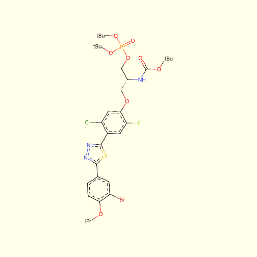 CC(C)Oc1ccc(-c2nnc(-c3cc(F)c(OC[C@H](COP(=O)(OC(C)(C)C)OC(C)(C)C)NC(=O)OC(C)(C)C)cc3Cl)s2)cc1Br